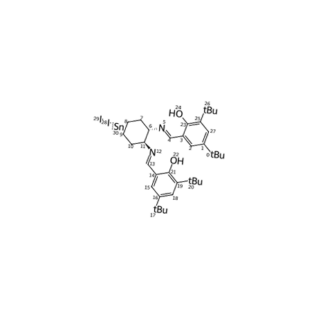 CC(C)(C)c1cc(C=N[C@H]2CCCC[C@@H]2N=Cc2cc(C(C)(C)C)cc(C(C)(C)C)c2O)c(O)c(C(C)(C)C)c1.[I].[I].[Sn]